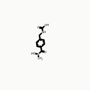 CN(O)C(=O)c1ccc(CNC(=O)O)cc1